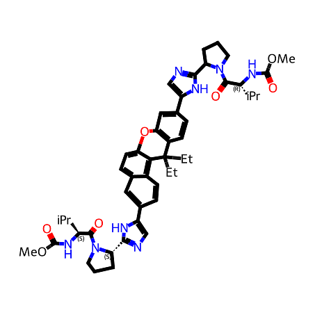 CCC1(CC)c2ccc(-c3cnc(C4CCCN4C(=O)[C@H](NC(=O)OC)C(C)C)[nH]3)cc2Oc2ccc3cc(-c4cnc([C@@H]5CCCN5C(=O)[C@@H](NC(=O)OC)C(C)C)[nH]4)ccc3c21